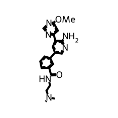 COc1cc(-c2cc(-c3cccc(C(=O)NCCN(C)C)c3)cnc2N)ncn1